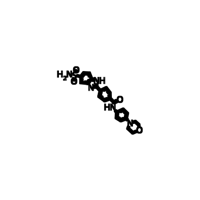 NS(=O)(=O)c1ccc2[nH]c(-c3ccc(C(=O)Nc4ccc(N5CCOCC5)cc4)cc3)nc2c1